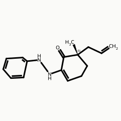 C=CC[C@]1(C)CCC=C(NNc2ccccc2)C1=O